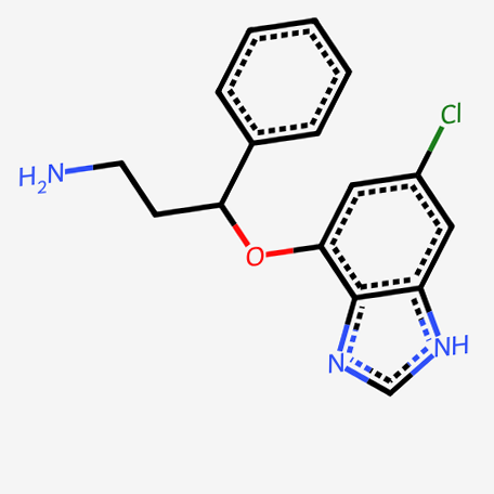 NCCC(Oc1cc(Cl)cc2[nH]cnc12)c1ccccc1